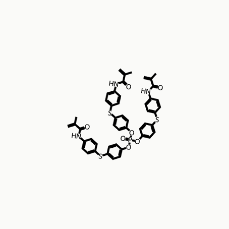 C=C(C)C(=O)Nc1ccc(Sc2ccc(OP(=O)(Oc3ccc(Sc4ccc(NC(=O)C(=C)C)cc4)cc3)Oc3ccc(Sc4ccc(NC(=O)C(=C)C)cc4)cc3)cc2)cc1